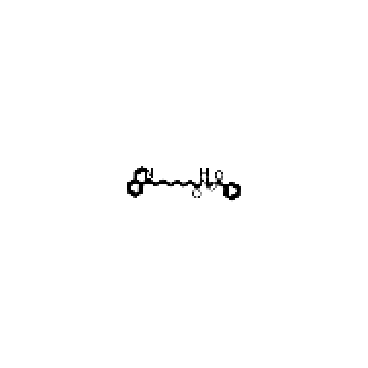 O=C(CCCCCCc1nccc2ccccc12)NOC(=O)c1ccccc1